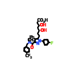 CC(C)c1c(C(=O)N(C)Cc2ccc(C(F)(F)F)cc2)nn(-c2ccc(F)cc2)c1CC[C@@H](O)C[C@@H](O)CC(=O)O